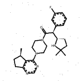 C[C@@H]1CCc2ncnc(N3CCN(C(=O)[C@@H](c4cccc(F)c4)[C@@H]4CCC(C)(C)N4)CC3)c21